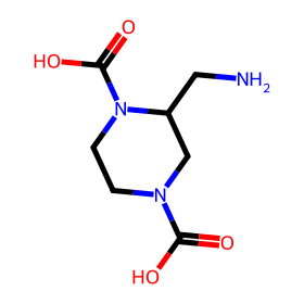 NCC1CN(C(=O)O)CCN1C(=O)O